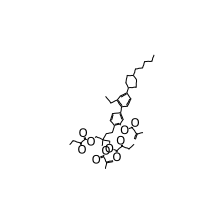 C=C(C)C(=O)OCC(CCc1ccc(-c2ccc(C3CCC(CCCCC)CC3)cc2CC)cc1OC(=O)C(=C)C)(COC(=O)C(=O)CC)COC(=O)C(=O)CC